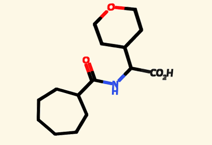 O=C(NC(C(=O)O)C1CCOCC1)C1CCCCCC1